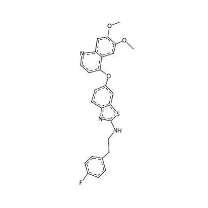 COc1cc2nccc(Oc3ccc4nc(NCCc5ccc(F)cc5)sc4c3)c2cc1OC